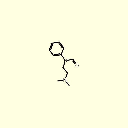 CN(C)CCN(C=O)c1cc[c]cc1